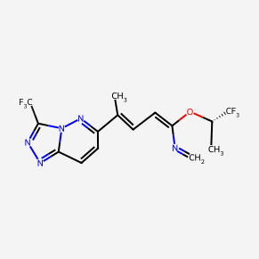 C=N/C(=C\C=C(/C)c1ccc2nnc(C(F)(F)F)n2n1)O[C@@H](C)C(F)(F)F